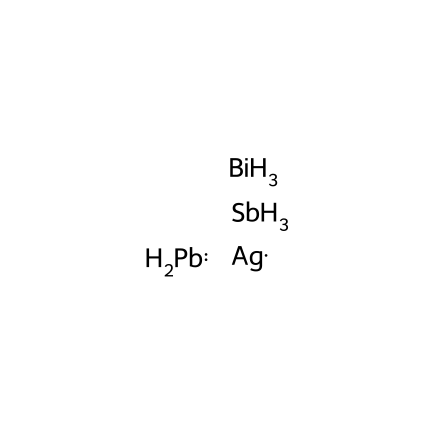 [Ag].[BiH3].[PbH2].[SbH3]